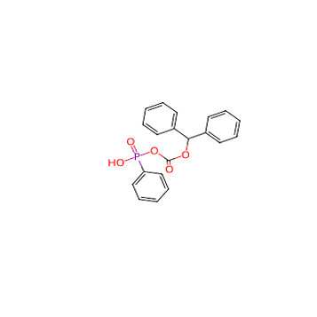 O=C(OC(c1ccccc1)c1ccccc1)OP(=O)(O)c1ccccc1